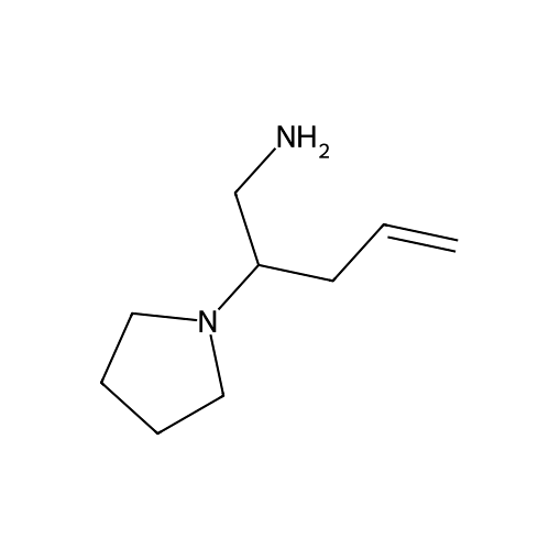 C=CCC(CN)N1CCCC1